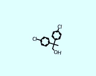 CC(CO)(c1ccc(Cl)cc1)c1ccc(Cl)cc1